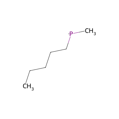 CCCCC[P]C